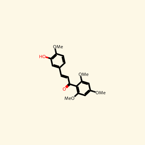 COc1cc(OC)c(C(=O)C=Cc2ccc(OC)c(O)c2)c(OC)c1